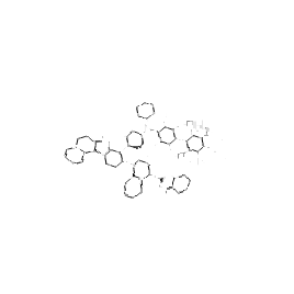 Bc1c(B)c(B)c(-c2c(B)c(B)c(N(c3ccccc3)c3ccc(-c4c(-c5ccc(-c6nc7ccccc7o6)c6ccccc56)ccc5c4[nH]c4ccc6ccccc6c45)cc3)c(B)c2B)c(B)c1B